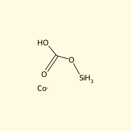 O=C(O)O[SiH3].[Co]